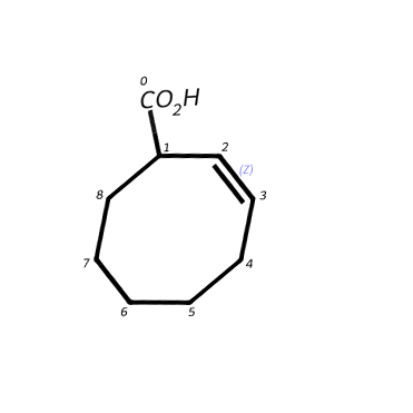 O=C(O)C1/C=C\CCCCC1